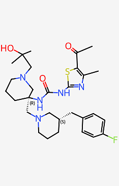 CC(=O)c1sc(NC(=O)N[C@@]2(CN3CCC[C@@H](Cc4ccc(F)cc4)C3)CCCN(CC(C)(C)O)C2)nc1C